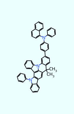 CC1(C)c2ccc(-c3ccc(N(c4ccccc4)c4cccc5ccccc45)cc3)cc2-n2c3ccccc3c3c2c1cc1c2ccccc2n(-c2ccccc2)c13